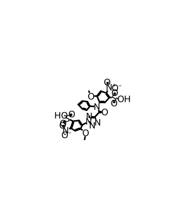 COc1cc([N+](=O)[O-])c(S(=O)(=O)O)cc1N(C(=O)c1nnn(-c2cc(S(=O)(=O)O)c([N+](=O)[O-])cc2OC)n1)c1ccccc1